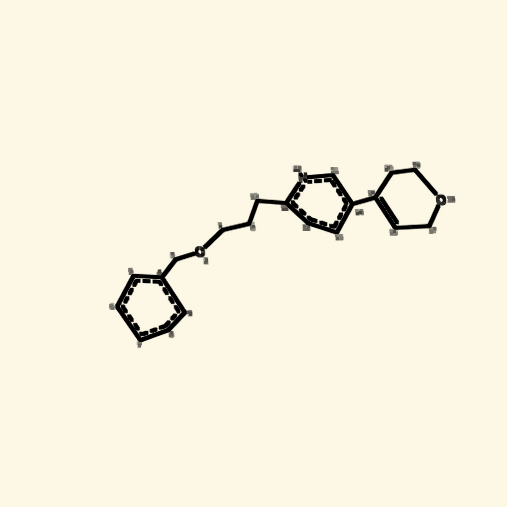 [CH](COCc1ccccc1)Cc1ccc(C2=CCOCC2)cn1